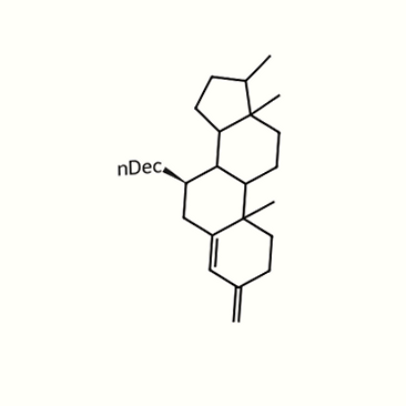 C=C1C=C2C[C@@H](CCCCCCCCCC)C3C(CCC4(C)C(C)CCC34)C2(C)CC1